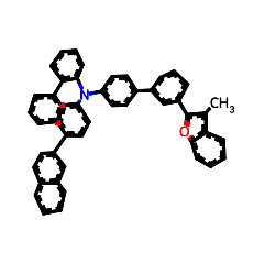 Cc1c(-c2cccc(-c3ccc(N(c4ccc(-c5ccc6ccccc6c5)cc4)c4ccccc4-c4ccccc4)cc3)c2)oc2ccccc12